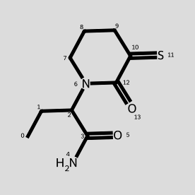 CCC(C(N)=O)N1CCCC(=S)C1=O